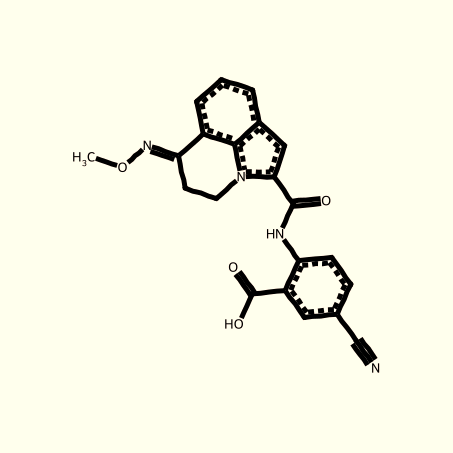 CON=C1CCn2c(C(=O)Nc3ccc(C#N)cc3C(=O)O)cc3cccc1c32